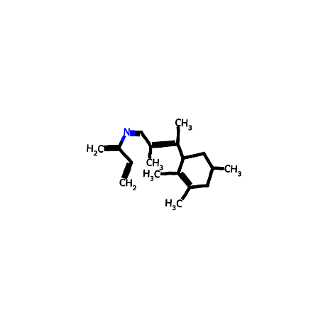 C=CC(=C)/N=C\C(C)=C(/C)C1CC(C)CC(C)=C1C